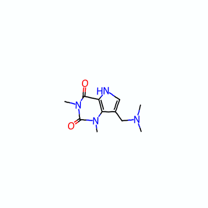 CN(C)Cc1c[nH]c2c(=O)n(C)c(=O)n(C)c12